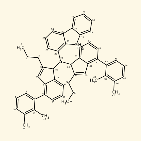 CCCC1=Cc2c(-c3cccc(C)c3C)cccc2[CH]1[Zr]([c]1cccc2c1[SiH2]c1ccccc1-2)[CH]1C(CCC)=Cc2c(-c3cccc(C)c3C)cccc21